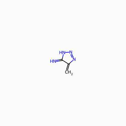 C=C1N=NNC1=N